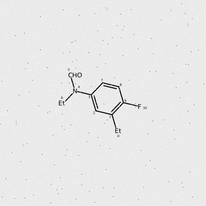 CCc1cc(N(C=O)CC)ccc1F